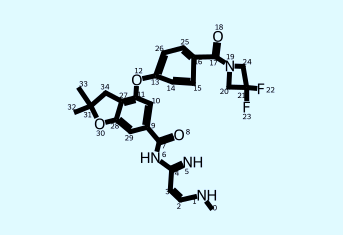 CN/C=C\C(=N)NC(=O)c1cc(Oc2ccc(C(=O)N3CC(F)(F)C3)cc2)c2c(c1)OC(C)(C)C2